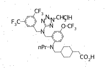 CCCN(CC1CCC(CC(=O)O)CC1)c1ccc(OC(F)(F)F)cc1CN(Cc1cc(C(F)(F)F)cc(C(F)(F)F)c1)c1nnn(C)n1.Cl